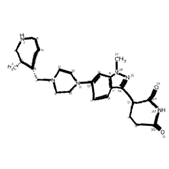 C[C@@H]1CNCC[C@@H]1CN1CCN(c2ccc3c(C4CCC(=O)NC4=O)nn(C)c3c2)CC1